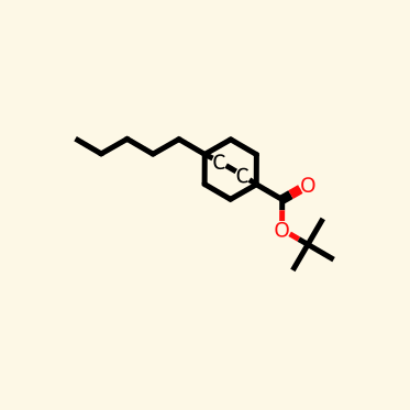 CCCCCC12CCC(C(=O)OC(C)(C)C)(CC1)CC2